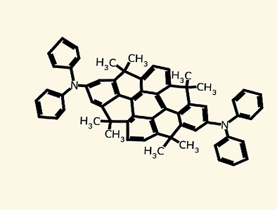 CC1(C)c2cc(N(c3ccccc3)c3ccccc3)cc3c2-c2c4c1ccc1c4c4c5c(ccc(c25)C3(C)C)C(C)(C)c2cc(N(c3ccccc3)c3ccccc3)cc(c2-4)C1(C)C